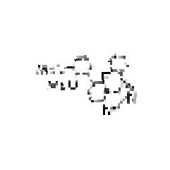 COc1cccc(-c2ccc3ncc4ncn(-c5ccccc5F)c4c3c2)c1OC